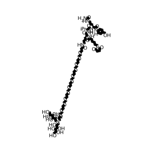 CC(C)[C@H](NC(=O)[C@H](CCCCNC(=O)CCOCCOCCOCCOCCOCCOCCOCCOCCOCCOCCOCCOCCN(C[C@H](O)[C@@H](O)[C@H](O)[C@H](O)CO)C[C@H](O)[C@@H](O)[C@H](O)[C@H](O)CO)NC(=O)CCCCCN1C(=O)C=CC1=O)C(=O)N[C@@H](CCCNC(N)=O)C(=O)Nc1ccc(CO)cc1